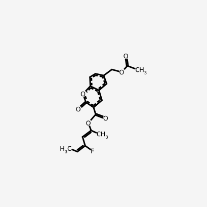 C/C=C(F)\C=C(/C)OC(=O)c1cc2cc(COC(C)=O)ccc2oc1=O